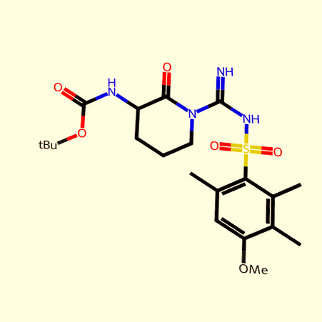 COc1cc(C)c(S(=O)(=O)NC(=N)N2CCCC(NC(=O)OC(C)(C)C)C2=O)c(C)c1C